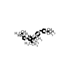 CC(C)(C)NC1CCN(c2cc(C(C)(C)C)c(CC(C)(C)N3CCN(CC4CCN(C(C)(C)C)CC4)CC3)cn2)C1